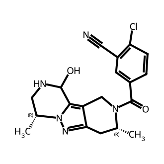 C[C@@H]1Cc2nn3c(c2CN1C(=O)c1ccc(Cl)c(C#N)c1)C(O)NC[C@H]3C